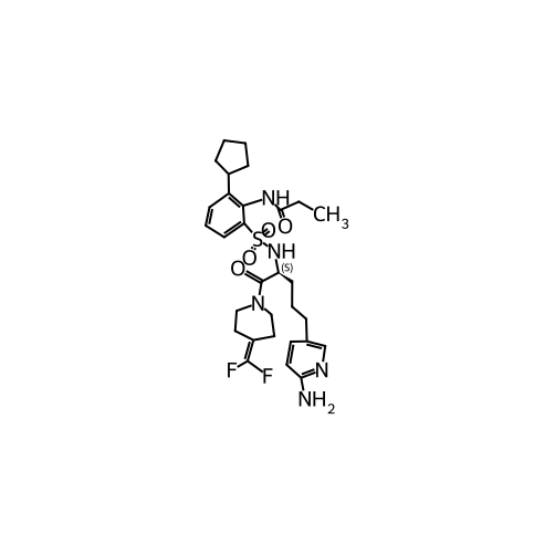 CCC(=O)Nc1c(C2CCCC2)cccc1S(=O)(=O)N[C@@H](CCCc1ccc(N)nc1)C(=O)N1CCC(=C(F)F)CC1